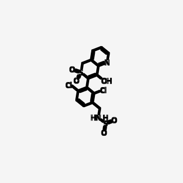 O=[SH](=O)NCc1ccc(Cl)c(C2=C(O)c3ncccc3CS2(=O)=O)c1Cl